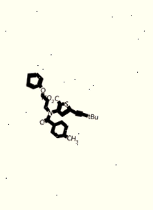 CC1CCC(C(=O)N(CCCOc2ccccc2)c2cc(C#CC(C)(C)C)sc2C(=O)O)CC1